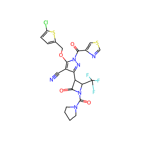 N#Cc1c(C2C(=O)N(C(=O)N3CCCC3)C2C(F)(F)F)nn(C(=O)c2cscn2)c1OCc1ccc(Cl)s1